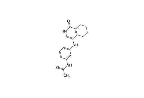 CC(=O)Nc1cccc(Nc2c[nH]c(=O)c3c2CCCC3)c1